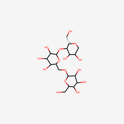 OCC1OC(OCC2OC(OC3C(O)C(O)CO[C@H]3CO)C(O)C(O)C2O)C(O)C(O)C1O